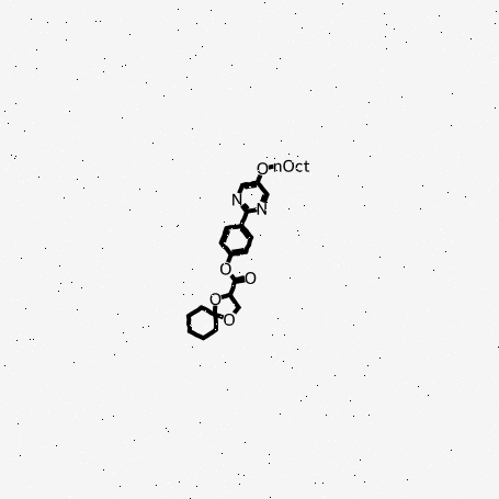 CCCCCCCCOc1cnc(-c2ccc(OC(=O)C3COC4(CCCCC4)O3)cc2)nc1